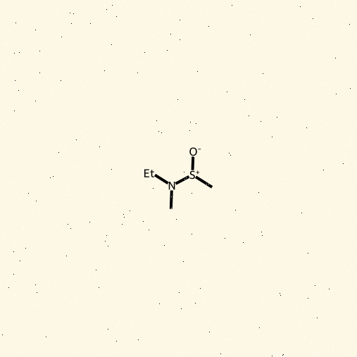 CCN(C)[S+](C)[O-]